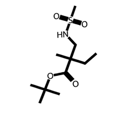 CCC(C)(CNS(C)(=O)=O)C(=O)OC(C)(C)C